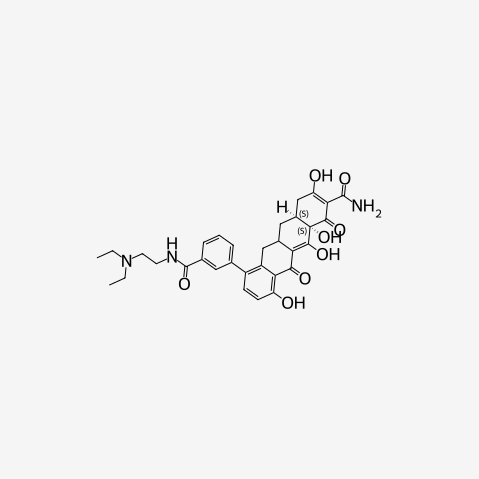 CCN(CC)CCNC(=O)c1cccc(-c2ccc(O)c3c2CC2C[C@H]4CC(O)=C(C(N)=O)C(=O)[C@@]4(O)C(O)=C2C3=O)c1